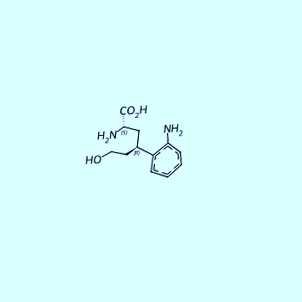 Nc1ccccc1[C@@H](CCO)C[C@H](N)C(=O)O